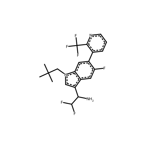 CC(C)(C)Cn1cc(C(N)C(F)F)c2cc(F)c(-c3cccnc3C(F)(F)F)cc21